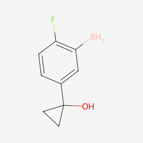 Bc1cc(C2(O)CC2)ccc1F